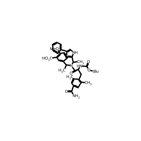 COc1ccc(C(C)N(C(=O)C(Cc2c(C)cc(C(N)=O)cc2C)NC(=O)OC(C)(C)C)C(C)c2nc(-c3ccccc3)c[nH]2)cc1C(=O)O